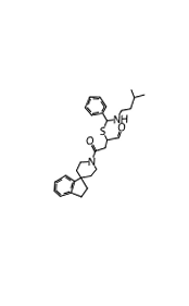 CC(C)CCNC(SC(C=O)CC(=O)N1CCC2(CCc3ccccc32)CC1)c1ccccc1